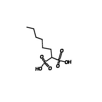 CCCCCCC(S(=O)(=O)O)S(=O)(=O)O